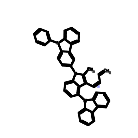 C=C/C=C\c1c(C)n(-c2ccc3c(c2)c2ccccc2n3-c2ccccc2)c2cccc(-n3c4ccccc4c4ccccc43)c12